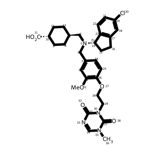 COc1cc(CN(C[C@H]2CC[C@H](C(=O)O)CC2)[C@H]2CCc3cc(Cl)ccc32)ccc1OCCn1c(=O)ncn(C)c1=O